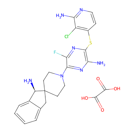 Nc1nc(N2CCC3(CC2)Cc2ccccc2[C@H]3N)c(F)nc1Sc1ccnc(N)c1Cl.O=C(O)C(=O)O